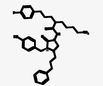 NCCCCC(CCCc1ccc(F)cc1)C(=O)NN1CN(CCCc2ccccc2)[C@H](Cc2ccc(O)cc2)C1=O